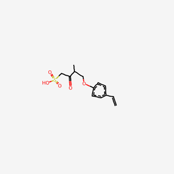 C=Cc1ccc(OCC(C)C(=O)CS(=O)(=O)O)cc1